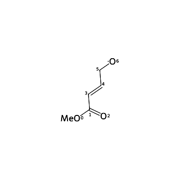 COC(=O)/C=C/C[O]